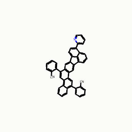 N#Cc1ccccc1-c1cc2c3cc4c(cc3c(-c3ccccc3C#N)cc2c2ccccc12)-c1ccc(-c2ccccn2)c2cccc-4c12